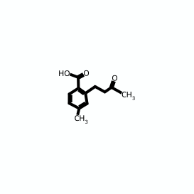 CC(=O)CCc1cc(C)ccc1C(=O)O